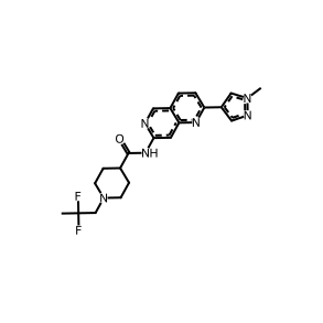 Cn1cc(-c2ccc3cnc(NC(=O)C4CCN(CC(C)(F)F)CC4)cc3n2)cn1